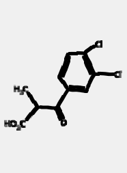 CC(C(=O)O)C(=O)c1ccc(Cl)c(Cl)c1